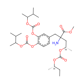 CC[C@H](C)OC(=O)O[C@@H](C)CC(N)(Cc1ccc(OC(=O)OC(C)C(C)C)c(OC(=O)OC(C)C(C)C)c1)C(=O)OC